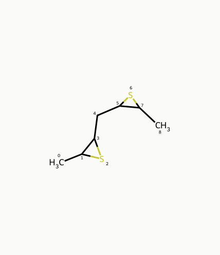 CC1SC1CC1SC1C